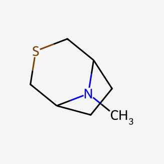 CN1C2CCC1CSC2